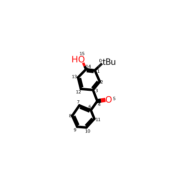 CC(C)(C)c1cc(C(=O)c2ccccc2)ccc1O